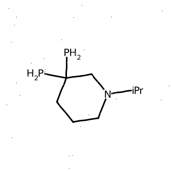 CC(C)N1CCCC(P)(P)C1